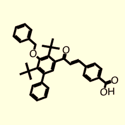 CC(C)(C)c1c(C(=O)/C=C/c2ccc(C(=O)O)cc2)cc(-c2ccccc2)c(C(C)(C)C)c1OCc1ccccc1